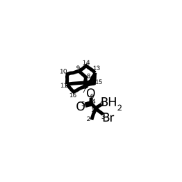 BC(C)(Br)C(=O)OC12CC3CC(CC(C3)C1)C2